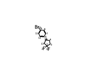 FC1(F)CC[C@@H](c2ccc(Br)cc2)C1